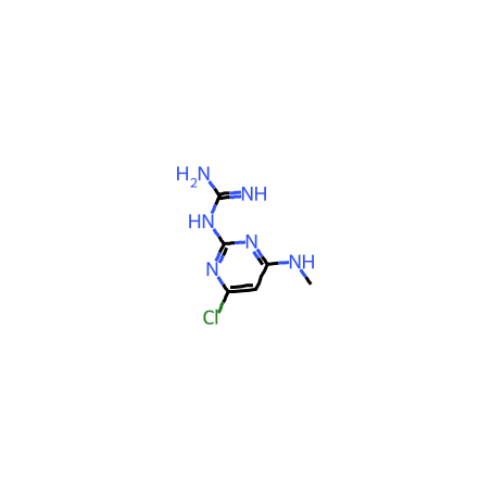 CNc1cc(Cl)nc(NC(=N)N)n1